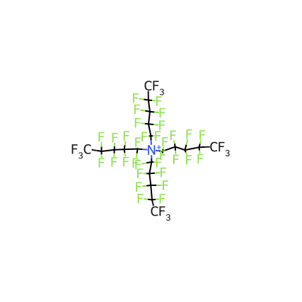 FC(F)(F)C(F)(F)C(F)(F)C(F)(F)C(F)(F)[N+](C(F)(F)C(F)(F)C(F)(F)C(F)(F)C(F)(F)F)(C(F)(F)C(F)(F)C(F)(F)C(F)(F)C(F)(F)F)C(F)(F)C(F)(F)C(F)(F)C(F)(F)C(F)(F)F